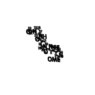 COc1cc(-c2cc(C(=O)N3CC[C@H](C(=O)N[C@@H]4CCCN(C5COC5)C4)CC34CC4)n[nH]2)c(F)cn1